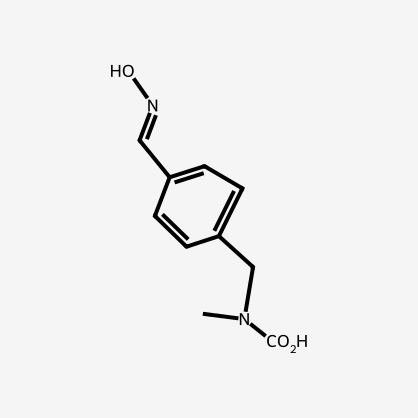 CN(Cc1ccc(C=NO)cc1)C(=O)O